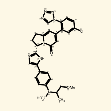 COCC(C)N(C(=O)O)c1ccc(-c2cnc([C@@H]3CCc4cc(-c5cc(Cl)ccc5-n5cnnn5)cc(=O)n43)[nH]2)cc1